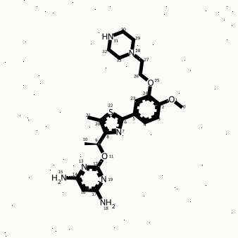 COc1ccc(-c2nc([C@H](C)Oc3nc(N)cc(N)n3)c(C)s2)cc1OCCN1CCNCC1